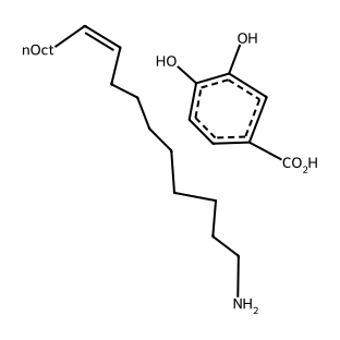 CCCCCCCC/C=C\CCCCCCCCN.O=C(O)c1ccc(O)c(O)c1